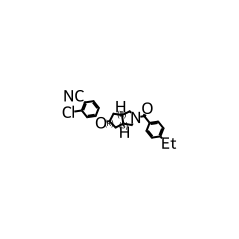 CCc1ccc(C(=O)N2C[C@H]3C[C@@H](Oc4ccc(C#N)c(Cl)c4)C[C@H]3C2)cc1